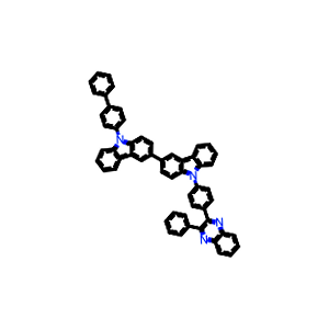 c1ccc(-c2ccc(-n3c4ccccc4c4cc(-c5ccc6c(c5)c5ccccc5n6-c5ccc(-c6nc7ccccc7nc6-c6ccccc6)cc5)ccc43)cc2)cc1